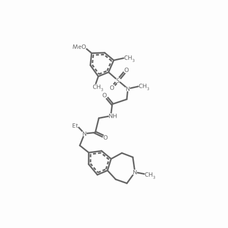 CCN(Cc1ccc2c(c1)CCN(C)CC2)C(=O)CNC(=O)CN(C)S(=O)(=O)c1c(C)cc(OC)cc1C